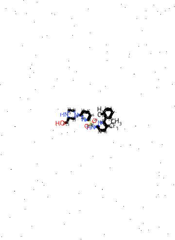 Cc1cccc(C)c1-c1nc(NS(=O)(=O)c2cccc(N3CCNC(CO)C3)n2)ccc1C(F)(F)F